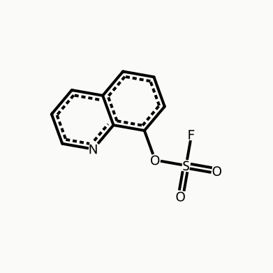 O=S(=O)(F)Oc1cccc2cccnc12